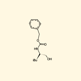 CC[C@H](C)[C@@H](CO)NC(=O)OCc1ccccc1